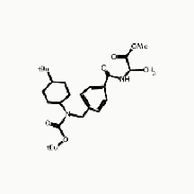 COC(=O)C(C)NC(=O)c1ccc(CN(C(=O)OC(C)(C)C)C2CCC(C(C)(C)C)CC2)cc1